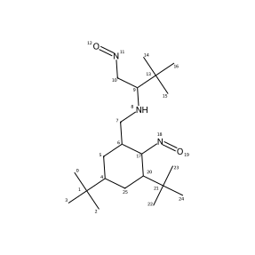 CC(C)(C)C1CC(CNC(CN=O)C(C)(C)C)C(N=O)C(C(C)(C)C)C1